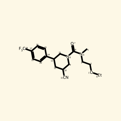 CCOCCN(C)C(=O)N1CC(C#N)CC(c2ccc(C(F)(F)F)cc2)C1